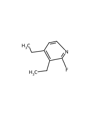 CCc1ccnc(F)c1CC